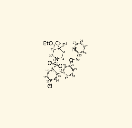 CCOC(=O)C1(F)CCN(S(=O)(=O)c2ccc(Cl)cc2-c2cccc(OCc3ccccn3)c2)CC1